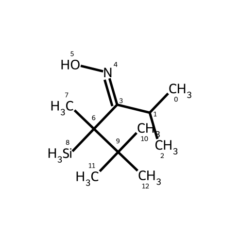 CC(C)C(=NO)C(C)([SiH3])C(C)(C)C